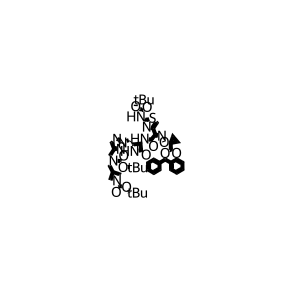 CC(C)(C)OC(=O)Nc1nc(C(=NOC2(C(=O)OC(c3ccccc3)c3ccccc3)CC2)C(=O)N[C@@H]2C(=O)N[C@@H]2Cn2ncc(CN(CC3CN(C(=O)OC(C)(C)C)C3)C(=O)OC(C)(C)C)n2)cs1